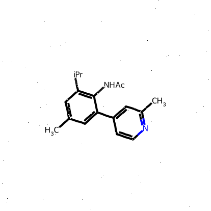 CC(=O)Nc1c(-c2ccnc(C)c2)cc(C)cc1C(C)C